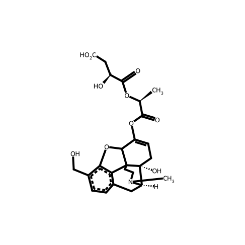 C[C@H](OC(=O)[C@@H](O)CC(=O)O)C(=O)OC1=CC[C@@]2(O)[C@H]3Cc4ccc(CO)c5c4C2(CCN3C)C1O5